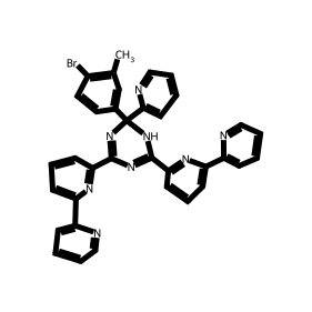 Cc1cc(C2(c3ccccn3)N=C(c3cccc(-c4ccccn4)n3)N=C(c3cccc(-c4ccccn4)n3)N2)ccc1Br